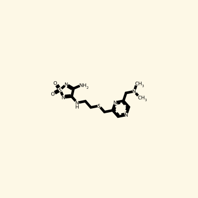 CN(C)Cc1cncc(CSCCNC2=NS(=O)(=O)N=C2N)n1